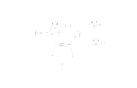 C[O][Zr]([O]C)([O]C)[C]1=[C]([GeH2][F])C=CC1